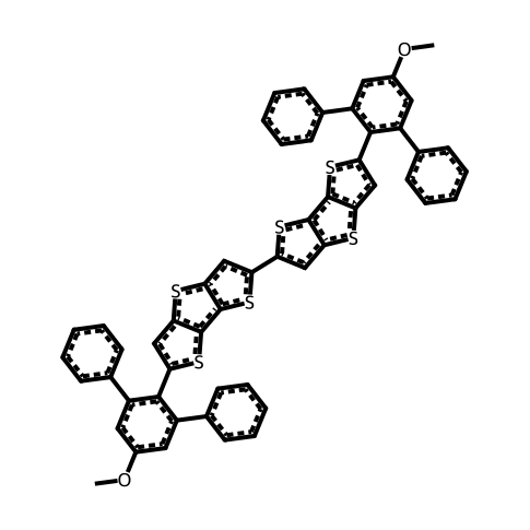 COc1cc(-c2ccccc2)c(-c2cc3sc4cc(-c5cc6sc7cc(-c8c(-c9ccccc9)cc(OC)cc8-c8ccccc8)sc7c6s5)sc4c3s2)c(-c2ccccc2)c1